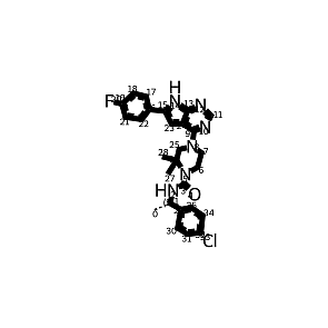 C[C@H](NC(=O)N1CCN(c2ncnc3[nH]c(-c4ccc(F)cc4)cc23)CC1(C)C)c1ccc(Cl)cc1